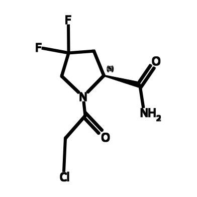 NC(=O)[C@@H]1CC(F)(F)CN1C(=O)CCl